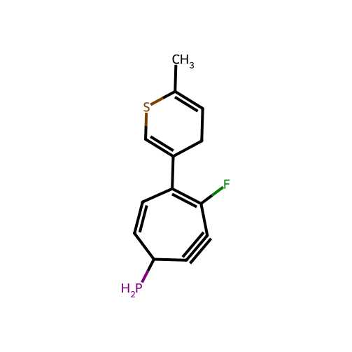 CC1=CCC(C2=C(F)C#CC(P)C=C2)=CS1